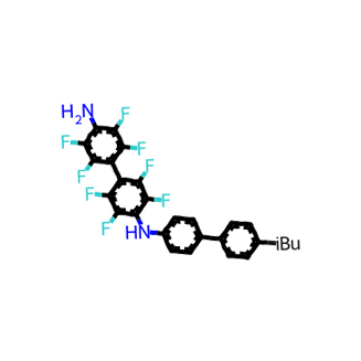 CCC(C)c1ccc(-c2ccc(Nc3c(F)c(F)c(-c4c(F)c(F)c(N)c(F)c4F)c(F)c3F)cc2)cc1